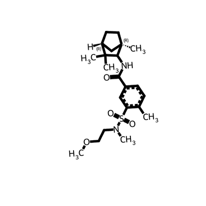 COCCN(C)S(=O)(=O)c1cc(C(=O)NC2C(C)(C)[C@@H]3CC[C@]2(C)C3)ccc1C